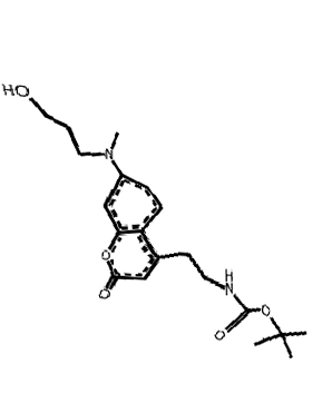 CN(CCCO)c1ccc2c(CCNC(=O)OC(C)(C)C)cc(=O)oc2c1